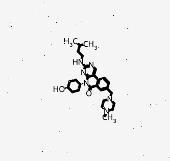 CC(C)CCNc1ncc2c3ccc(CN4CCN(C)CC4)cc3c(=O)n([C@H]3CC[C@H](O)CC3)c2n1